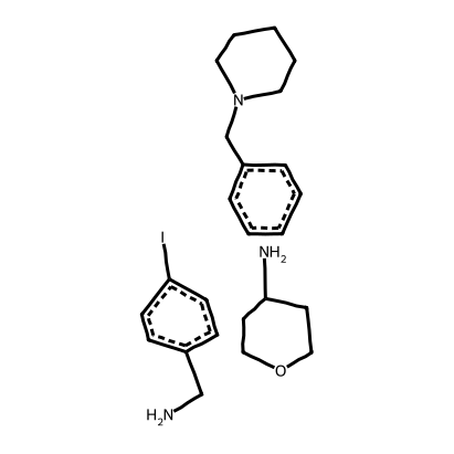 NC1CCOCC1.NCc1ccc(I)cc1.c1ccc(CN2CCCCC2)cc1